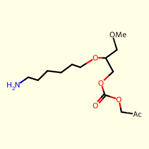 COCC(COC(=O)OCC(C)=O)OCCCCCCN